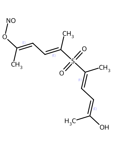 C/C(O)=C\C=C(/C)S(=O)(=O)/C(C)=C/C=C(\C)ON=O